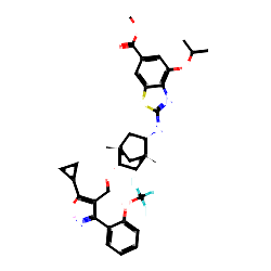 COC(=O)c1cc(OC(C)C)c2nc(N[C@@H]3C[C@@H]4C[C@H]3C[C@@H]4OCc3c(-c4ccccc4OC(F)(F)F)noc3C3CC3)sc2c1